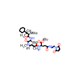 CN[C@H](C(=O)NC(C(=O)N(C)[C@H](/C=C(\C)C(=O)N[C@H](CCC(=O)NCCN1C(=O)C=CC1=O)C(=O)OC(C)(C)C)C(C)C)C(C)(C)C)C(C)(C)C1CCCCC1